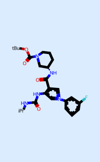 CC(C)NC(=O)Nc1cn(-c2cccc(F)c2)cc1C(=O)N[C@H]1CCCN(C(=O)OC(C)(C)C)C1